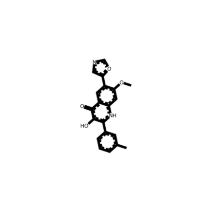 COc1cc2[nH]c(-c3cccc(C)c3)c(O)c(=O)c2cc1-c1cnco1